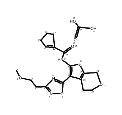 COCCc1noc(-c2c(NC(=O)C3=CCCC3)sc3c2CCOC3)n1.O=C(O)O